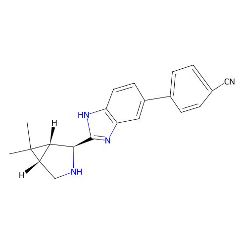 CC1(C)[C@@H]2[C@@H](c3nc4cc(-c5ccc(C#N)cc5)ccc4[nH]3)NC[C@@H]21